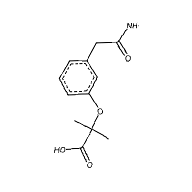 CC(C)(Oc1cccc(CC([NH])=O)c1)C(=O)O